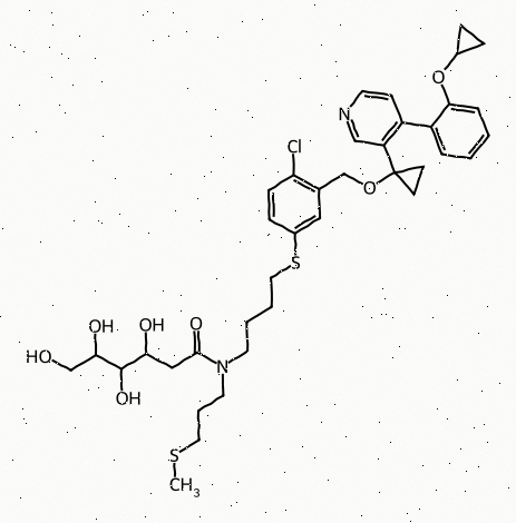 CSCCCN(CCCCSc1ccc(Cl)c(COC2(c3cnccc3-c3ccccc3OC3CC3)CC2)c1)C(=O)CC(O)C(O)C(O)CO